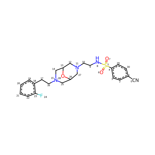 N#Cc1ccc(S(=O)(=O)NCCN2CC3CN(CCc4ccccc4F)CC(C2)O3)cc1